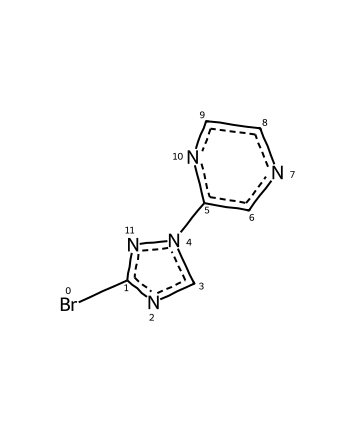 Brc1ncn(-c2cnccn2)n1